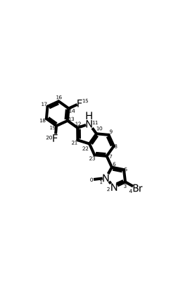 Cn1nc(Br)cc1-c1ccc2[nH]c(-c3c(F)cccc3F)cc2c1